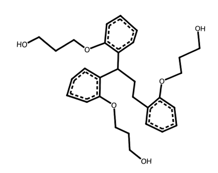 OCCCOc1ccccc1CCC(c1ccccc1OCCCO)c1ccccc1OCCCO